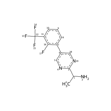 CC(N)c1ncc(-c2cccc(C(F)(F)F)c2F)cn1